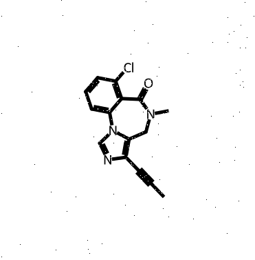 CC#Cc1ncn2c1CN(C)C(=O)c1c(Cl)cccc1-2